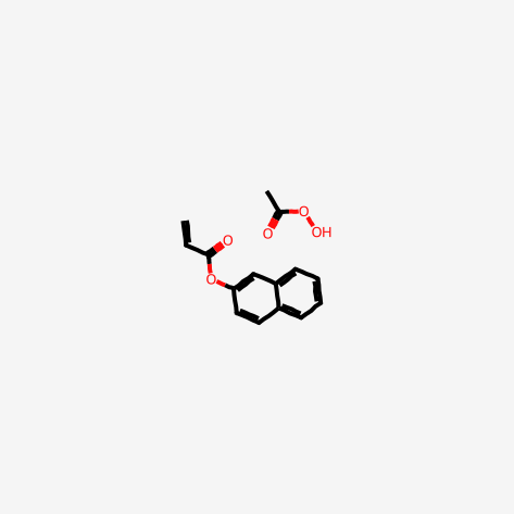 C=CC(=O)Oc1ccc2ccccc2c1.CC(=O)OO